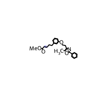 COC(=O)/C=C/CCc1cccc(OCCc2nc(-c3ccccc3)oc2C)c1